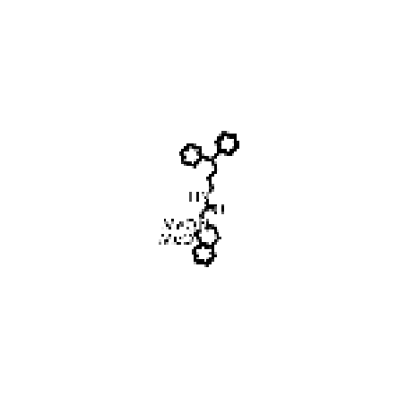 COC1(OC)c2ccccc2CCN1CC(=O)NCCCC(c1ccccc1)c1ccccc1